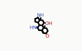 CC12C[C@@H](O)C3C(C(=N)CC4=CC(=O)CCC43C)C1CCC2=N